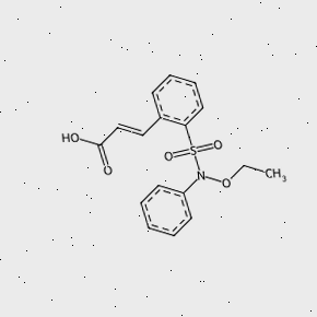 CCON(c1ccccc1)S(=O)(=O)c1ccccc1C=CC(=O)O